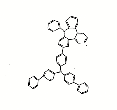 c1ccc(-c2ccc(N(c3ccc(-c4ccccc4)cc3)c3ccc(-c4ccc5c(c4)-c4ccccc4-c4ccccc4N5c4ccccc4)cc3)cc2)cc1